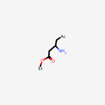 CCOC(=O)CC(N)CC(C)=O